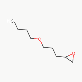 [SiH3]CCCOCCCC1CO1